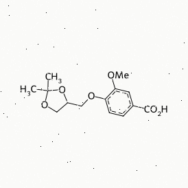 COc1cc(C(=O)O)ccc1OCC1COC(C)(C)O1